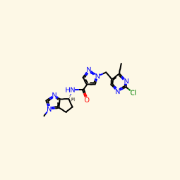 Cc1nc(Cl)ncc1Cn1cc(C(=O)N[C@@H]2CCc3c2ncn3C)cn1